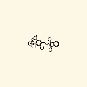 COc1cc(S(=O)(=O)Cl)c(OC)cc1CCN1C(=O)c2ccccc2C1=O